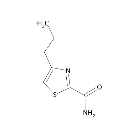 [CH2]CCc1csc(C(N)=O)n1